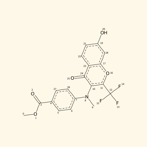 COC(=O)c1ccc(N(C)c2c(C(F)(F)F)oc3cc(O)ccc3c2=O)cc1